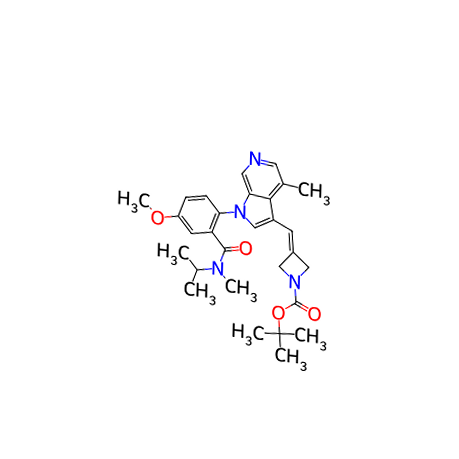 COc1ccc(-n2cc(C=C3CN(C(=O)OC(C)(C)C)C3)c3c(C)cncc32)c(C(=O)N(C)C(C)C)c1